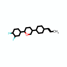 C/C=C/C1CCC(C2CCC(C3CCC(F)C(F)C3)OC2)CC1